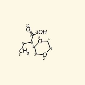 C1COCCO1.CCCC(=O)O